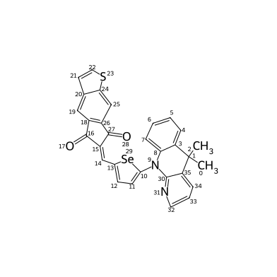 CC1(C)c2ccccc2N(c2ccc(C=C3C(=O)c4cc5ccsc5cc4C3=O)[se]2)c2ncccc21